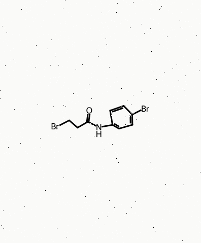 O=C(CCBr)Nc1ccc(Br)cc1